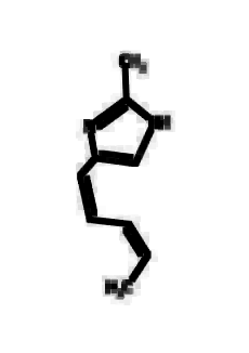 C/C=C\C=C/c1c[nH]c(C)n1